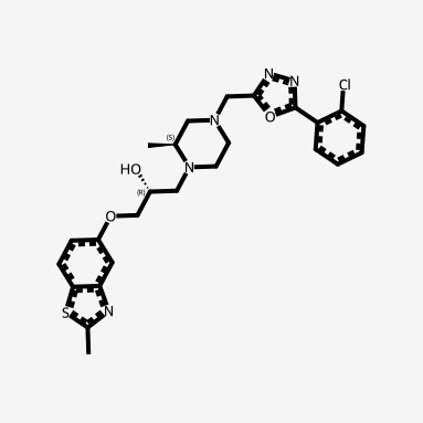 Cc1nc2cc(OC[C@H](O)CN3CCN(Cc4nnc(-c5ccccc5Cl)o4)C[C@@H]3C)ccc2s1